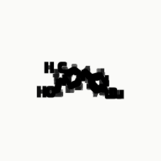 C[C@H]1CN(Cc2ccc(C(C)(C)C)nc2)CCN1CCO